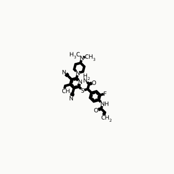 C=CC(=O)Nc1ccc(C(Sc2nc(N3CCC(N(C)C)CC3)c(C#N)c(CC)c2C#N)C(N)=O)cc1F